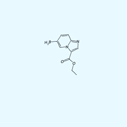 Bc1ccc2ncc(C(=O)OCC)n2c1